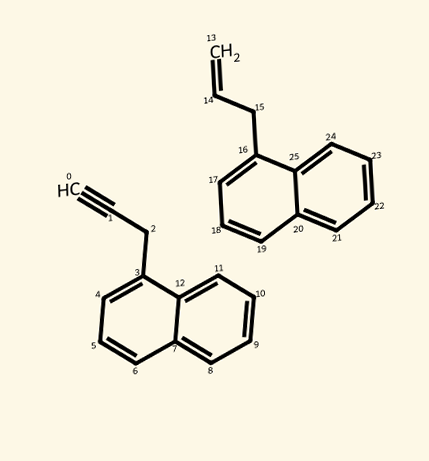 C#CCc1cccc2ccccc12.C=CCc1cccc2ccccc12